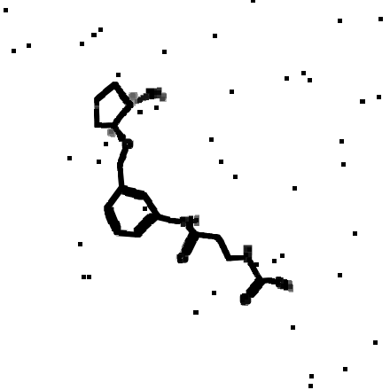 N[C@H]1CCC[C@@H]1OCc1cccc(NC(=O)CCNC(=O)O)c1